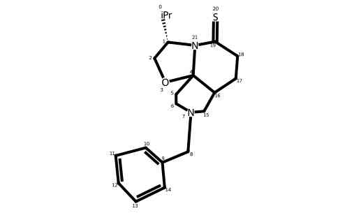 CC(C)[C@H]1COC23CCN(Cc4ccccc4)CC2CCC(=S)N13